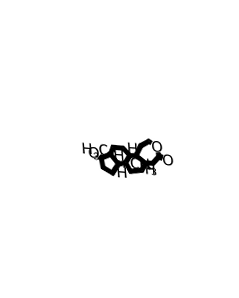 C[C@]12CCOC(=O)C[C@@H]1CC[C@@H]1[C@@H]2CC[C@]2(C)C(=O)CC[C@@H]12